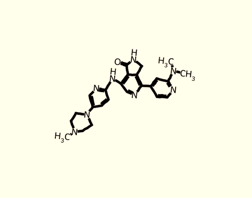 CN1CCN(c2ccc(Nc3cnc(-c4ccnc(N(C)C)c4)c4c3C(=O)NC4)nc2)CC1